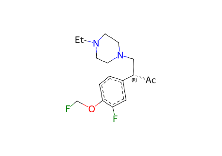 CCN1CCN(C[C@H](C(C)=O)c2ccc(OCF)c(F)c2)CC1